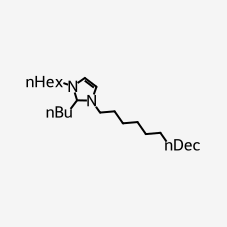 CCCCCCCCCCCCCCCCN1C=CN(CCCCCC)C1CCCC